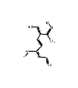 C/C=C(\C=C\C(=N/C=N)NC(C)C)C(/C)=N\O